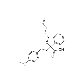 C=CCCCOC(CCc1ccc(OC)cc1)(C(=O)O)c1ccccc1